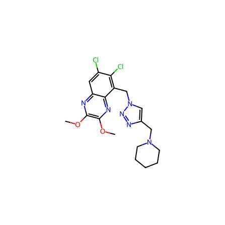 COc1nc2cc(Cl)c(Cl)c(Cn3cc(CN4CCCCC4)nn3)c2nc1OC